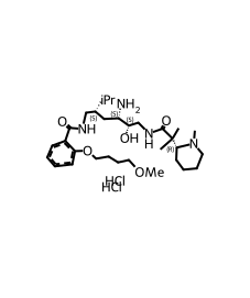 COCCCCOc1ccccc1C(=O)NC[C@@H](C[C@H](N)[C@@H](O)CNC(=O)C(C)(C)[C@H]1CCCCN1C)C(C)C.Cl.Cl